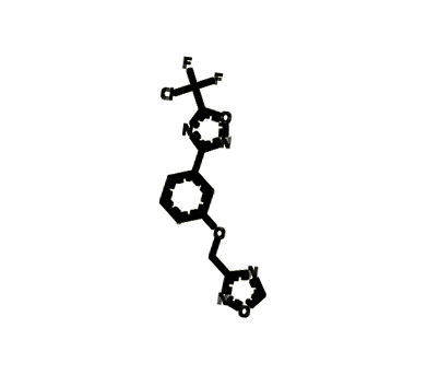 FC(F)(Cl)c1nc(-c2cc[c]c(OCc3ncon3)c2)no1